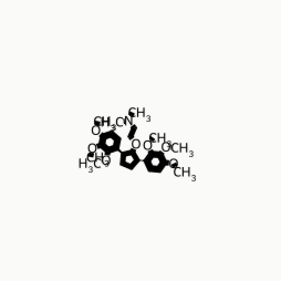 COc1ccc([C@@H]2CC[C@@H](c3ccc(OC)c(OC)c3OC)C2OCCN(C)C)c(OC)c1OC